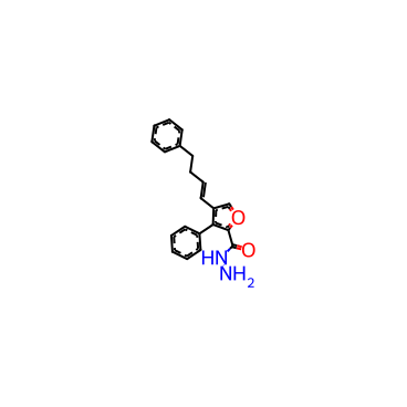 NNC(=O)c1occ(C=CCCc2ccccc2)c1-c1ccccc1